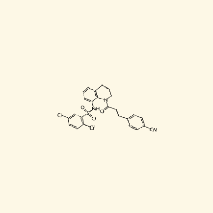 N#Cc1ccc(CCC(=O)N2CCCc3cccc(NS(=O)(=O)c4cc(Cl)ccc4Cl)c32)cc1